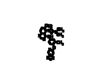 CCOc1ccc2ncnc(Nc3ccc(Oc4cc5ncnn5cn4)c(C)c3)c2c1N1CC(N(C)C)C1